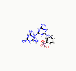 Nc1nc(N)nc(N)n1.Nc1nc(N)nc(N)n1.O=P(O)(O)c1ccccc1